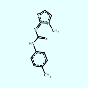 Cc1ccc(NC(=S)N=c2sccn2C)cc1